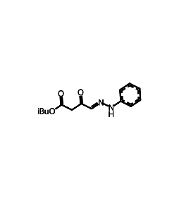 CC(C)COC(=O)CC(=O)C=NNc1ccccc1